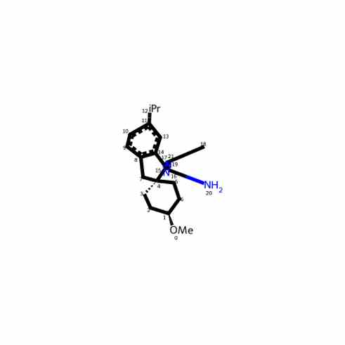 CO[C@H]1CC[C@]2(CC1)Cc1ccc(C(C)C)cc1C21N=C(C)C(N)=N1